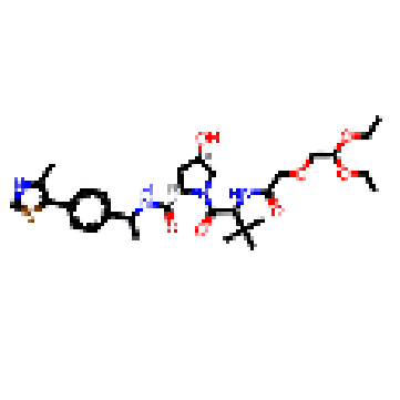 CCOC(COCC(=O)NC(C(=O)N1C[C@H](O)C[C@H]1C(=O)NC(C)c1ccc(-c2scnc2C)cc1)C(C)(C)C)OCC